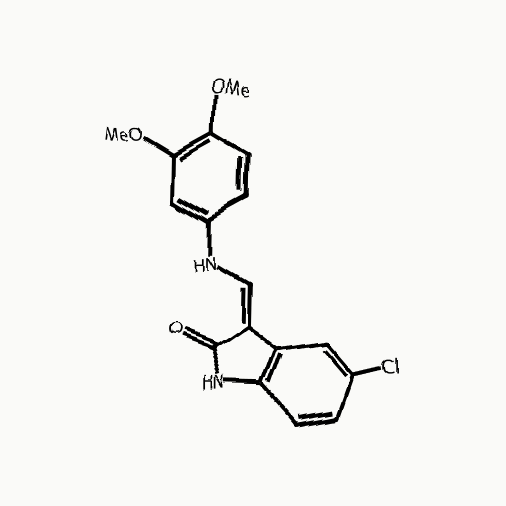 COc1ccc(NC=C2C(=O)Nc3ccc(Cl)cc32)cc1OC